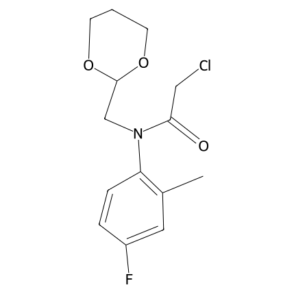 Cc1cc(F)ccc1N(CC1OCCCO1)C(=O)CCl